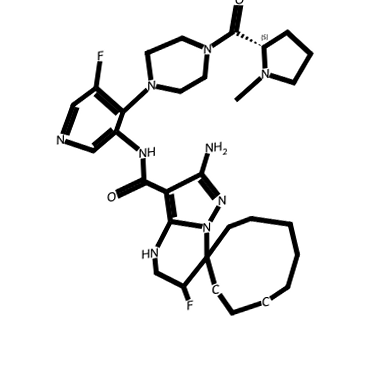 CN1CCC[C@H]1C(=O)N1CCN(c2c(F)cncc2NC(=O)c2c(N)nn3c2NCC(F)C32CCCCCCCC2)CC1